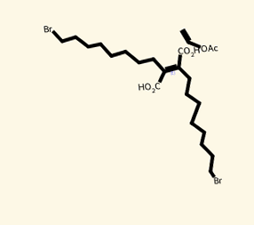 C=COC(C)=O.O=C(O)/C(CCCCCCCCBr)=C(\CCCCCCCCBr)C(=O)O